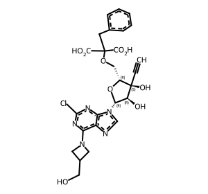 C#C[C@@]1(O)[C@@H](COC(Cc2ccccc2)(C(=O)O)C(=O)O)O[C@@H](n2cnc3c(N4CC(CO)C4)nc(Cl)nc32)[C@@H]1O